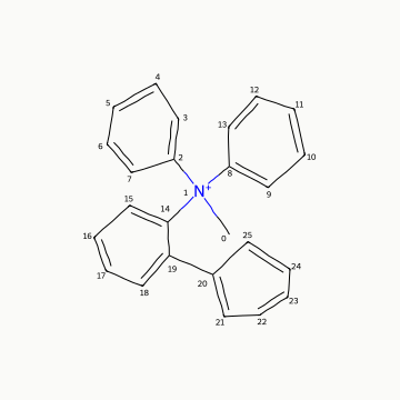 C[N+](c1ccccc1)(c1ccccc1)c1ccccc1-c1ccccc1